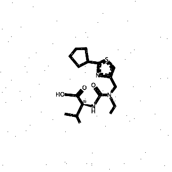 CCN(Cc1csc(C2CCCC2)n1)C(=O)N[C@H](C(=O)O)C(C)C